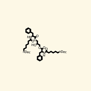 CCCCCCCCCCCCCCCC(=O)NC(Cc1ccccc1)C(=O)OCC(O)COC(=O)C(Cc1ccccc1)NC(=O)CCCCCCCCCCCCCCC